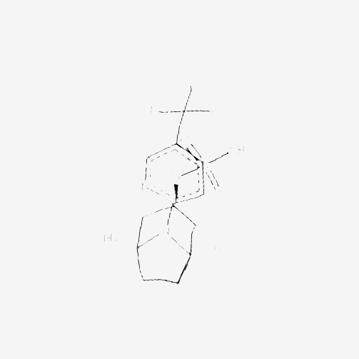 CS(=O)(=O)O[C@H]1C[C@H]2CC[C@@H](C1)N2c1ccc(C(F)(F)F)cn1